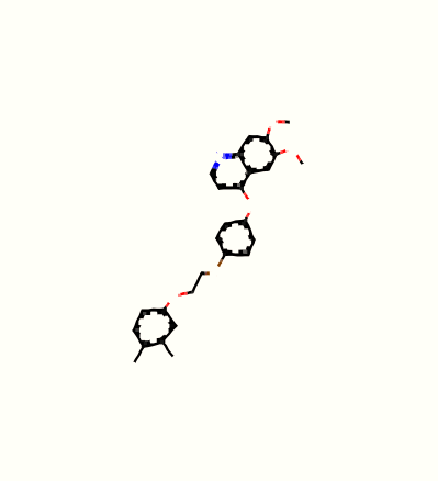 COc1cc2nccc(Oc3ccc(SCCOc4ccc(C)c(C)c4)cc3)c2cc1OC